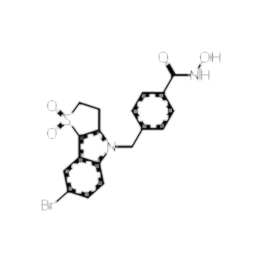 O=C(NO)c1ccc(Cn2c3c(c4cc(Br)ccc42)S(=O)(=O)CC3)cc1